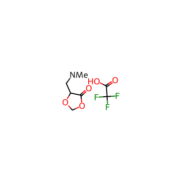 CNCC1OCOC1=O.O=C(O)C(F)(F)F